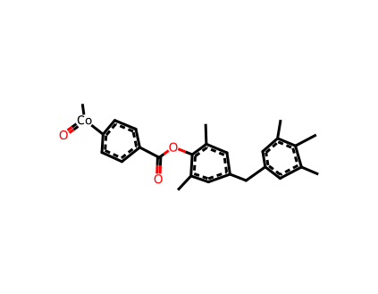 Cc1cc(Cc2cc(C)c(OC(=O)c3cc[c]([Co]([CH3])=[O])cc3)c(C)c2)cc(C)c1C